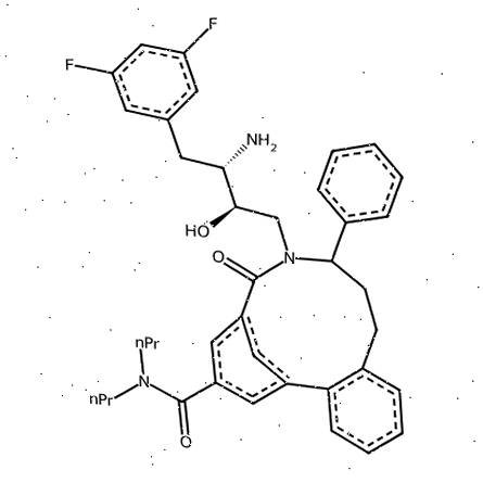 CCCN(CCC)C(=O)c1cc2cc(c1)-c1ccccc1CCC(c1ccccc1)N(C[C@@H](O)[C@@H](N)Cc1cc(F)cc(F)c1)C2=O